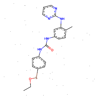 CCOSc1ccc(NC(=O)Nc2ccc(C)c(Nc3ncccn3)c2)cc1